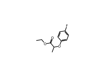 CCOC(=O)C(C)Oc1ccc(F)cc1